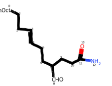 CCCCCCCCCCC=CCCC([C]=O)CCC(N)=O